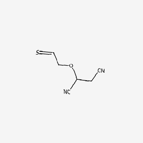 N#CCC(C#N)OCC=S